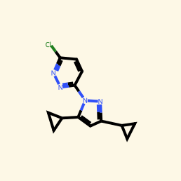 Clc1ccc(-n2nc(C3CC3)cc2C2CC2)nn1